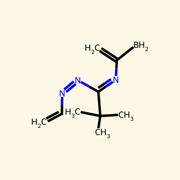 BC(=C)/N=C(\N=N/C=C)C(C)(C)C